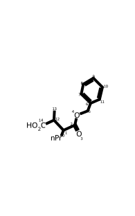 CCCC(C(=O)OCc1ccccc1)C(C)C(=O)O